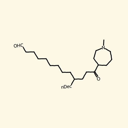 CCCCCCCCCCC(CCCCCCCCC=O)CCC(=O)C1CCCN(C)CC1